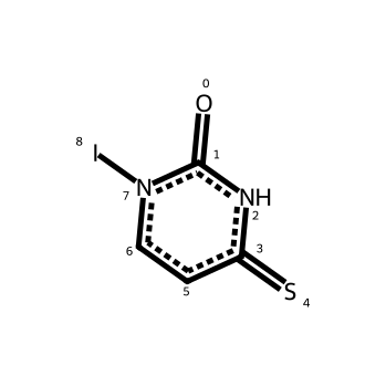 O=c1[nH]c(=S)ccn1I